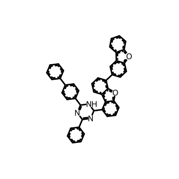 c1ccc(C2=NC(c3cccc4oc5c(-c6ccc7oc8ccccc8c7c6)cccc5c34)NC(c3ccc(-c4ccccc4)cc3)=N2)cc1